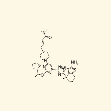 C[C@H](Oc1nc(-c2noc([C@@]3(C)CCCc4sc(N)c(C#N)c43)n2)cc(N2CCN(C/C=C/C(=O)N(C)C)CC2)n1)[C@@H]1CCCN1C